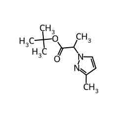 Cc1ccn(C(C)C(=O)OC(C)(C)C)n1